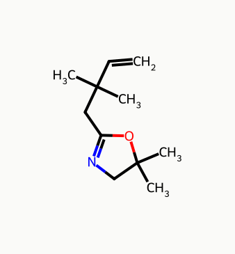 C=CC(C)(C)CC1=NCC(C)(C)O1